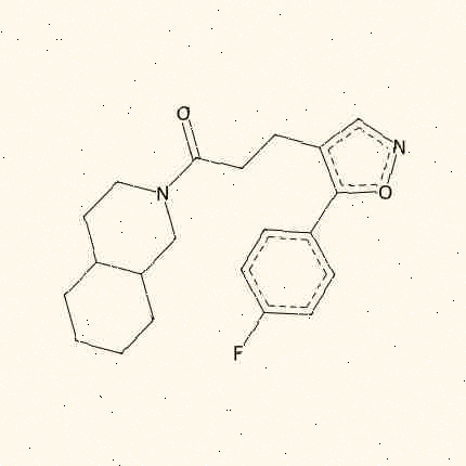 O=C(CCc1cnoc1-c1ccc(F)cc1)N1CCC2CCCCC2C1